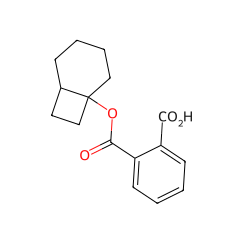 O=C(O)c1ccccc1C(=O)OC12CCCCC1CC2